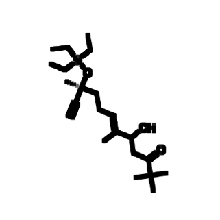 C#C[C@](C)(CC/C=C(\C)C(O)CC(=O)C(C)(C)C)O[Si](CC)(CC)CC